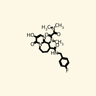 CN(C)C(=O)C(=O)N(C)C1c2ncc(O)c(=O)n2CCCC1C(=O)NCc1ccc(F)cc1